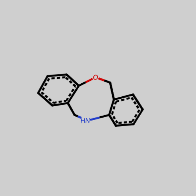 c1ccc2c(c1)COc1ccccc1CN2